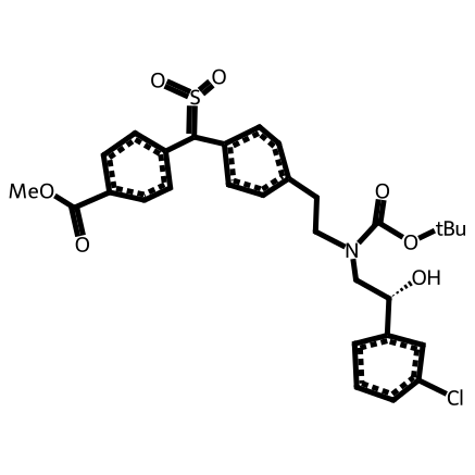 COC(=O)c1ccc(C(c2ccc(CCN(C[C@H](O)c3cccc(Cl)c3)C(=O)OC(C)(C)C)cc2)=S(=O)=O)cc1